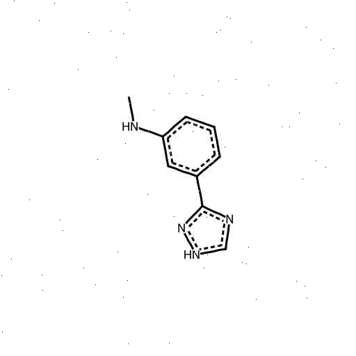 CNc1cccc(-c2nc[nH]n2)c1